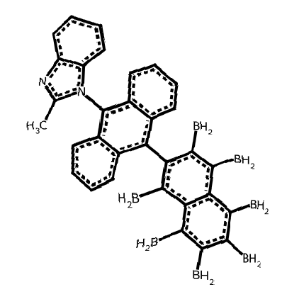 Bc1c(B)c(B)c2c(B)c(-c3c4ccccc4c(-n4c(C)nc5ccccc54)c4ccccc34)c(B)c(B)c2c1B